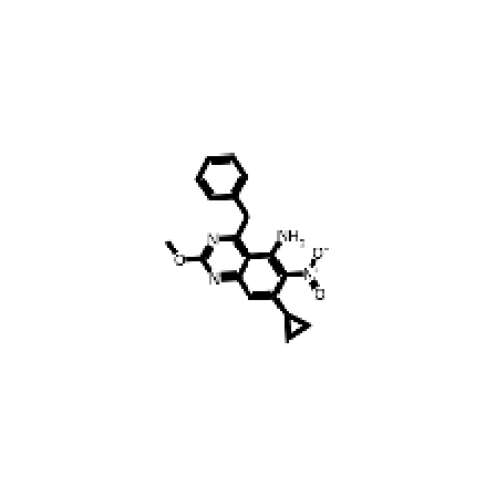 COc1nc(Cc2ccccc2)c2c(N)c([N+](=O)[O-])c(C3CC3)cc2n1